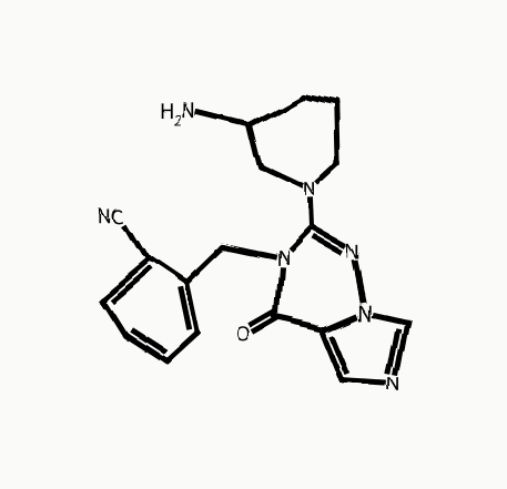 N#Cc1ccccc1Cn1c(N2CCCC(N)C2)nn2cncc2c1=O